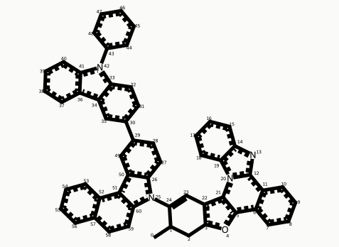 CC1Cc2oc3c4ccccc4c4nc5ccccc5n4c3c2C=C1n1c2ccc(-c3ccc4c(c3)c3ccccc3n4-c3ccccc3)cc2c2c3ccccc3ccc21